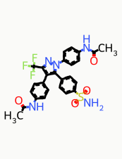 CC(=O)Nc1ccc(-c2c(C(F)(F)F)nn(-c3ccc(NC(C)=O)cc3)c2-c2ccc(S(N)(=O)=O)cc2)cc1